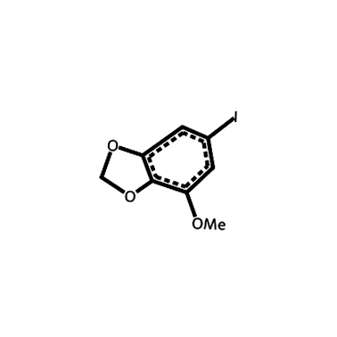 COc1cc(I)cc2c1OCO2